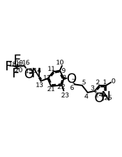 Cc1cc(CCCOc2c(C)cc(C=NOCC(F)(F)F)cc2C)on1